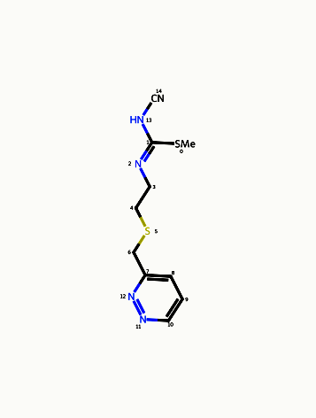 CS/C(=N\CCSCc1cccnn1)NC#N